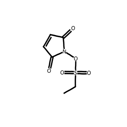 CCS(=O)(=O)ON1C(=O)C=CC1=O